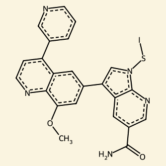 COc1cc(-c2cn(SI)c3ncc(C(N)=O)cc23)cc2c(-c3cccnc3)ccnc12